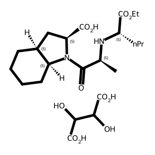 CCC[C@H](N[C@@H](C)C(=O)N1[C@H](C(=O)O)C[C@@H]2CCCC[C@@H]21)C(=O)OCC.O=C(O)C(O)C(O)C(=O)O